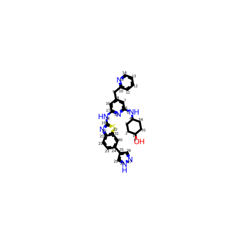 OC1CCC(Nc2cc(Cc3ccccn3)cc(Nc3nc4ccc(-c5cn[nH]c5)cc4s3)n2)CC1